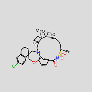 CC[C@@H]1CC/C=C/[C@](C=O)(OC)[C@@H]2CC[C@H]2CN2C[C@@]3(CCCc4cc(Cl)ccc43)COc3ccc(cc32)C(=O)NS1(=O)=O